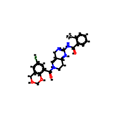 O=C(NC1=NCC2=CN(C(=O)c3cc(F)cc4c3OCOC4)CCC2=N1)c1ccccc1C(F)(F)F